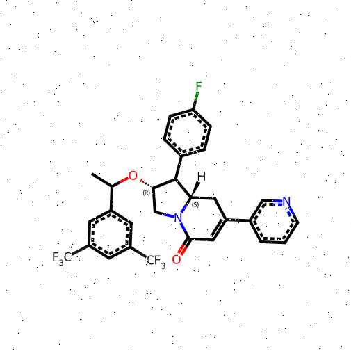 CC(O[C@H]1CN2C(=O)C=C(c3cccnc3)C[C@H]2C1c1ccc(F)cc1)c1cc(C(F)(F)F)cc(C(F)(F)F)c1